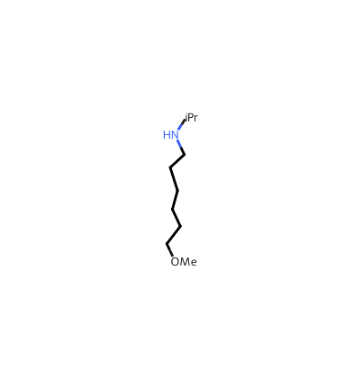 COCCCCCCNC(C)C